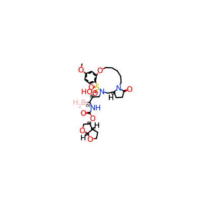 B[C@H](NC(=O)O[C@H]1CO[C@H]2OCC[C@H]21)[C@H](O)CN1C[C@@H]2CCC(=O)N2CCCCCOc2cc(OC)ccc2S1(=O)=O